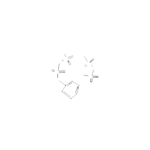 [O]=[Cr](=[O])([OH])[O][Cr](=[O])(=[O])[OH].[O]=[Cr](=[O])([OH])[O][Cr](=[O])(=[O])[O]c1ccccc1